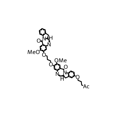 COc1cc2c(cc1OCCCOc1cc3c(cc1OC)C(=O)N1c4ccc(OCCCC(C)=O)cc4C[C@H]1C=N3)N=C[C@@H]1Cc3ccccc3N1C2=O